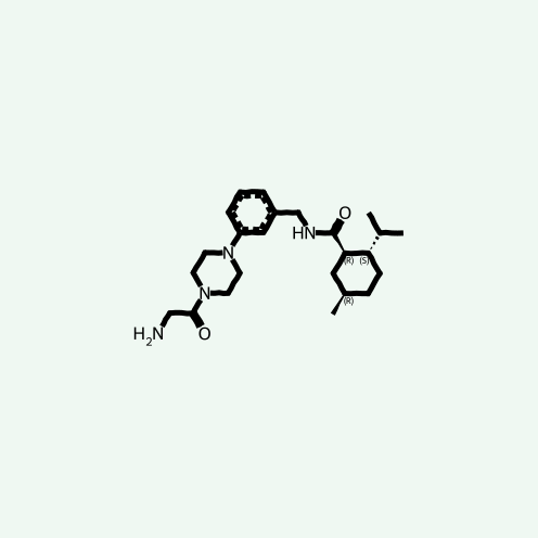 CC(C)[C@@H]1CC[C@@H](C)C[C@H]1C(=O)NCc1cccc(N2CCN(C(=O)CN)CC2)c1